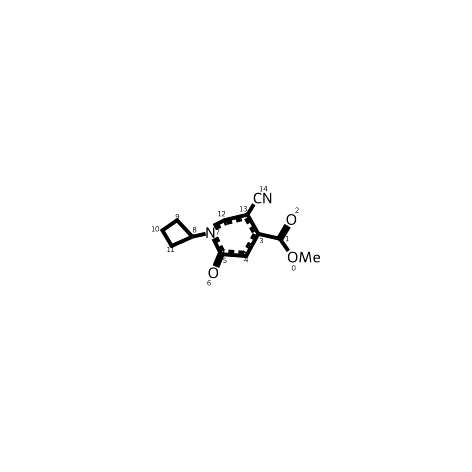 COC(=O)c1cc(=O)n(C2CCC2)cc1C#N